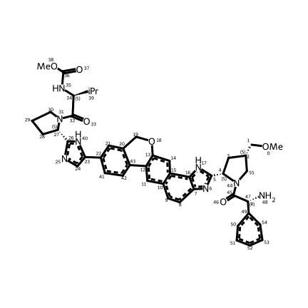 COC[C@H]1C[C@@H](c2nc3ccc4cc5c(cc4c3[nH]2)OCc2cc(-c3cnc([C@@H]4CCCN4C(=O)[C@@H](NC(=O)OC)C(C)C)[nH]3)ccc2-5)N(C(=O)[C@H](N)c2ccccc2)C1